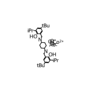 CC(=O)[O-].CC(=O)[O-].CC(C)c1cc(C(C)(C)C)cc(C=NC2CCC(N=Cc3cc(C(C)(C)C)cc(C(C)C)c3O)CC2)c1O.[Co+2]